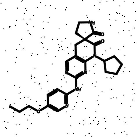 O=C1NCC[C@@]12Cc1cnc(Nc3ccc(OCCI)cn3)nc1N(C1CCCC1)C2=O